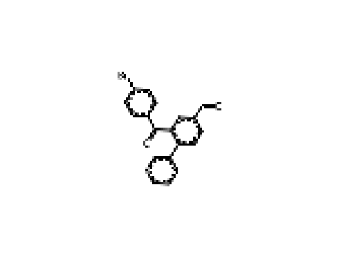 O=Cc1ccc(-c2ccccc2)c(C(=O)c2ccc(Br)cc2)c1